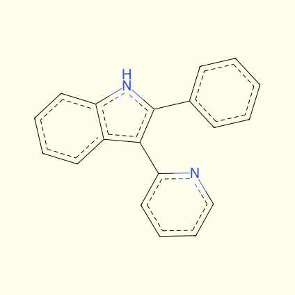 c1ccc(-c2[nH]c3ccccc3c2-c2ccccn2)cc1